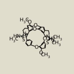 CNC(=S)N1CCc2cc(OC)c3c4c2[C@@H]1Cc1ccc(cc1)Oc1cc(ccc1OC)C[C@@]1(C)c2cc(c(cc2CCN1C(=S)N(C)C)O3)O4